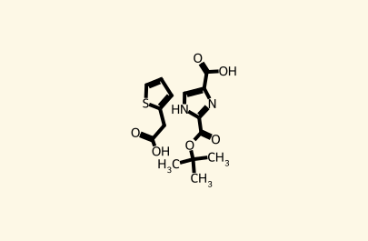 CC(C)(C)OC(=O)c1nc(C(=O)O)c[nH]1.O=C(O)Cc1cccs1